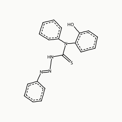 Oc1ccccc1N(C(=S)NN=Nc1ccccc1)c1ccccc1